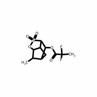 CC1C2CC3C1OS(=O)(=O)C3C2OC(=O)C(C)(F)F